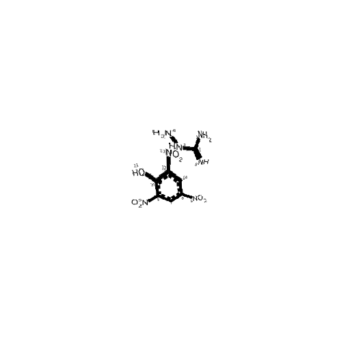 N=C(N)NN.O=[N+]([O-])c1cc([N+](=O)[O-])c(O)c([N+](=O)[O-])c1